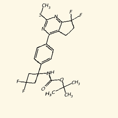 CSc1nc(-c2ccc(C3(NC(=O)OC(C)(C)C)CC(F)(F)C3)cc2)c2c(n1)C(F)(F)CC2